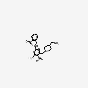 NCC1CCC(Cc2nc(NCc3ccccc3[N+](=O)[O-])nc(N)c2[N+](=O)[O-])CC1